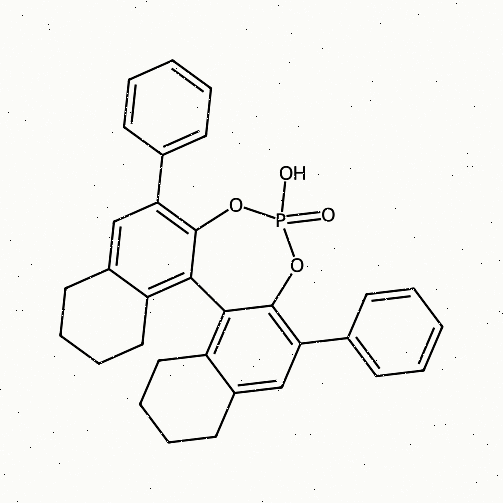 O=P1(O)Oc2c(-c3ccccc3)cc3c(c2-c2c4c(cc(-c5ccccc5)c2O1)CCCC4)CCCC3